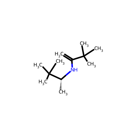 C=C(N[C@H](C)C(C)(C)C)C(C)(C)C